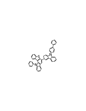 C1=c2c(n(-c3ccc(-c4ccccc4)cc3)c3ccccc23)=CCC1c1cc2c3ccccc3n(-c3ccccc3)c2c2c1sc1ccccc12